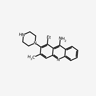 CCc1c(N2CCNCC2)c(C)cc2nc3ccccc3c(N)c12